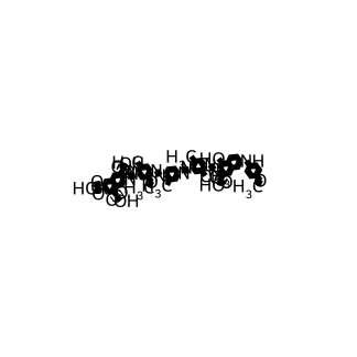 COc1ccc(Nc2ccc3c(O)c(N=Nc4cc(C)c(N=Nc5ccc(N=Nc6cc(C)c(N=Nc7cc8c(S(=O)(=O)O)cc(S(=O)(=O)O)cc8cc7S(=O)(=O)O)cc6OC)c(C)c5)cc4C)c(S(=O)(=O)O)cc3c2)cc1